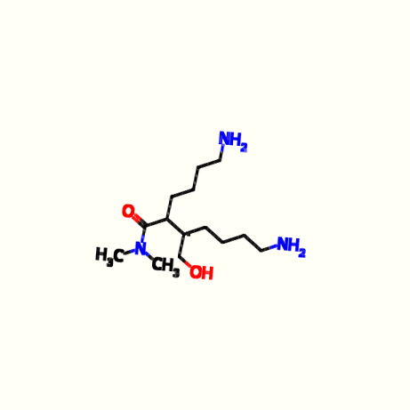 CN(C)C(=O)C(CCCCN)[C](CO)CCCCN